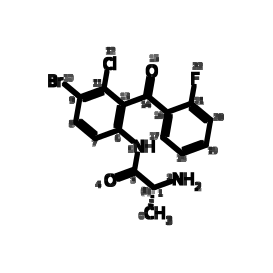 C[C@@H](N)C(=O)Nc1ccc(Br)c(Cl)c1C(=O)c1ccccc1F